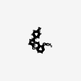 COc1ccccc1Cn1c(C)cnc1-c1ccc(Br)cc1